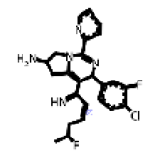 CC(F)C/C=C\C(=N)C1=C2CC(N)CN2C(c2ccccn2)=NC1c1ccc(Cl)c(F)c1